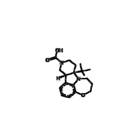 CC(C)(C)[C@]12CCN(C(=O)O)C[C@H]1c1cccc3c1N2CCCO3